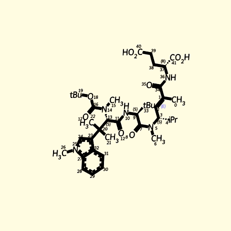 C/C(=C\[C@H](C(C)C)N(C)C(=O)[C@@H](NC(=O)[C@@H](N(C)C(=O)OC(C)(C)C)C(C)(C)c1cn(C)c2ccccc12)C(C)(C)C)C(=O)N[C@H](CCC(=O)O)C(=O)O